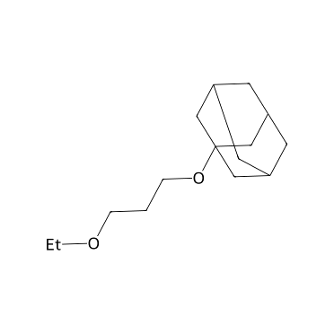 [CH2]COCCCOC12CC3CC(CC(C3)C1)C2